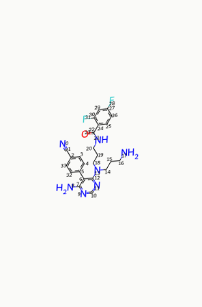 N#Cc1ccc(-c2c(N)ncnc2N(CCCN)CCCNC(=O)c2ccc(F)cc2F)cc1